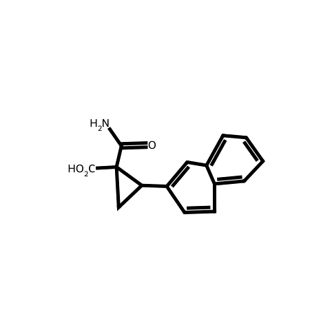 NC(=O)C1(C(=O)O)CC1c1ccc2ccccc2c1